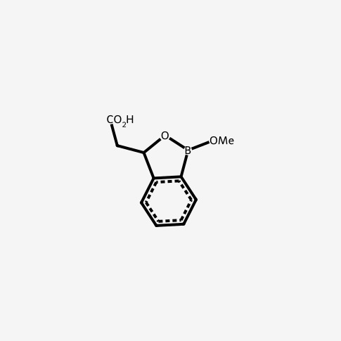 COB1OC(CC(=O)O)c2ccccc21